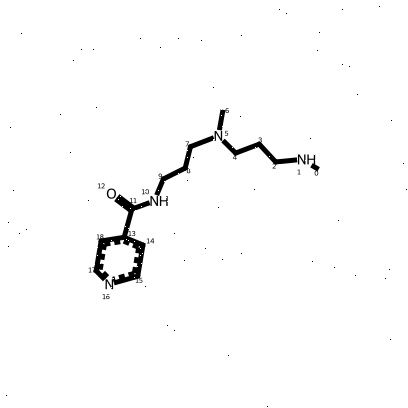 CNCCCN(C)CCCNC(=O)c1ccncc1